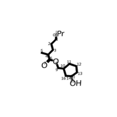 CC(C)CCCC(C)C(=O)OCC1CCC[C@@H](O)C1